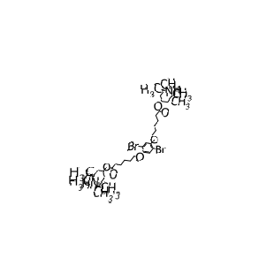 CC1(C)CC(OC(=O)CCCCCOc2cc(Br)c(OCCCCCC(=O)OC3CC(C)(C)NC(C)(C)C3)cc2Br)CC(C)(C)N1